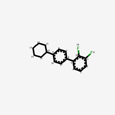 Fc1cccc(-c2ccc(C3CCCCC3)cc2)c1F